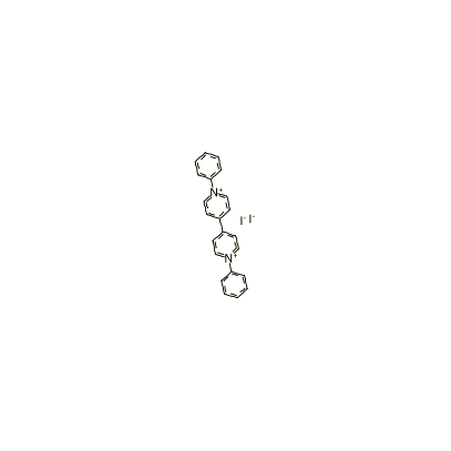 [I-].[I-].c1ccc(-[n+]2ccc(-c3cc[n+](-c4ccccc4)cc3)cc2)cc1